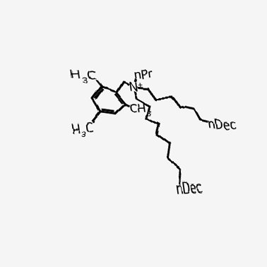 CCCCCCCCCCCCCCCCCC[N+](CCC)(CCCCCCCCCCCCCCCC)Cc1c(C)cc(C)cc1C